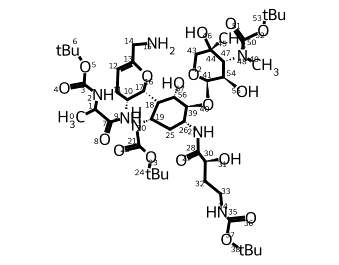 CC(NC(=O)OC(C)(C)C)C(=O)N[C@@H]1CC=C(CN)O[C@@H]1C1[C@@H](NC(=O)OC(C)(C)C)C[C@@H](NC(=O)[C@@H](O)CCNC(=O)OC(C)(C)C)[C@H](O[C@H]2OC[C@](C)(O)[C@H](N(C)C(=O)OC(C)(C)C)[C@H]2O)[C@H]1O